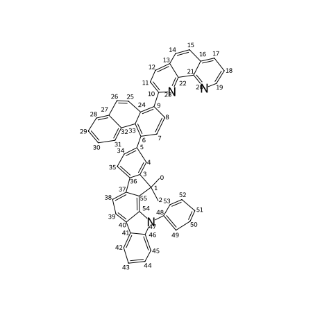 CC1(C)c2cc(-c3ccc(-c4ccc5ccc6cccnc6c5n4)c4ccc5ccccc5c34)ccc2-c2ccc3c4ccccc4n(-c4ccccc4)c3c21